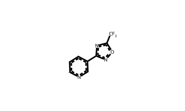 FC(F)(F)c1nc(-c2cc[c]nc2)no1